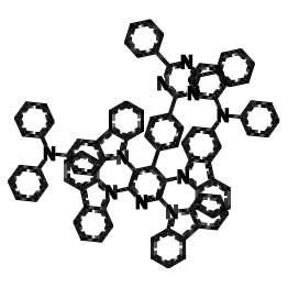 c1ccc(-c2nc(-c3ccccc3)nc(-c3ccc(-c4c(-n5c6ccccc6c6cc(N(c7ccccc7)c7ccccc7)ccc65)c(-n5c6ccccc6c6ccccc65)nc(-n5c6ccccc6c6ccccc65)c4-n4c5ccccc5c5cc(N(c6ccccc6)c6ccccc6)ccc54)cc3)n2)cc1